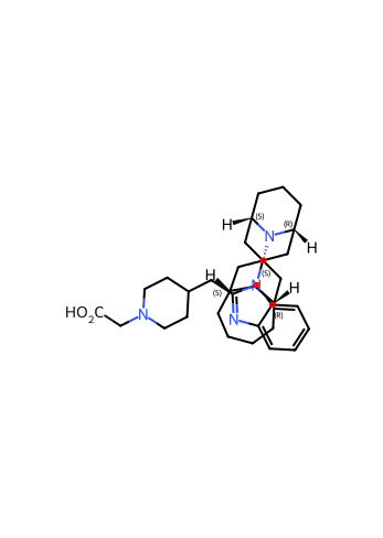 O=C(O)CN1CCC(Cc2nc3ccccc3n2C2C[C@H]3CCC[C@@H](C2)N3[C@@H]2C[C@@H]3CCCC[C@@H](C3)C2)CC1